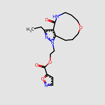 CCc1nn(CCOC(=O)c2ccno2)c2c1C(=O)NCCCOCCC2